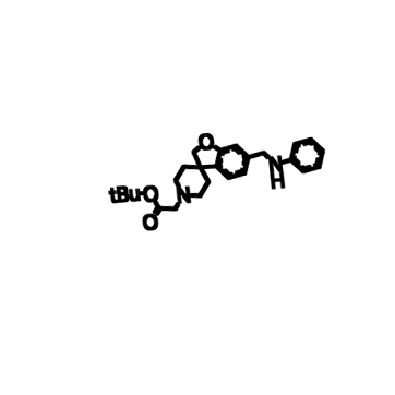 CC(C)(C)OC(=O)CN1CCC2(CC1)COc1cc(CNc3ccccc3)ccc12